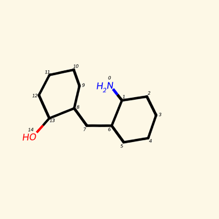 NC1CCCCC1CC1CCCCC1O